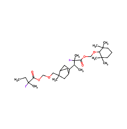 CCC(C)(I)C(=O)OCOCC1(C)CC2CC1CC2C(C)C(C)(I)C(=O)OCOC1C(C)(C)CCCC1(C)C